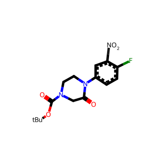 CC(C)(C)OC(=O)N1CCN(c2ccc(F)c([N+](=O)[O-])c2)C(=O)C1